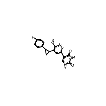 COc1nnc(-c2c[nH]c(=O)[nH]c2=O)cc1C1CC1c1ccc(F)cc1